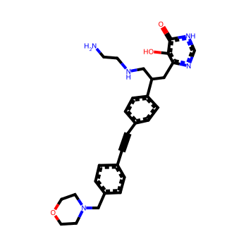 NCCNCC(Cc1nc[nH]c(=O)c1O)c1ccc(C#Cc2ccc(CN3CCOCC3)cc2)cc1